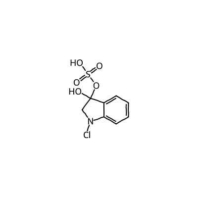 O=S(=O)(O)OC1(O)CN(Cl)c2ccccc21